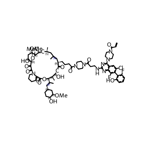 C=CC(=O)N1CCN(c2nc(NCCC(=O)N3CCN(C(=O)CCC[C@@H]4/C=C(\C)C[C@H](C)C[C@H](OC)[C@H]5O[C@@](O)(C(=O)C(=O)N6CCCC[C@H]6C(=O)O[C@H](/C(C)=C/[C@@H]6CC[C@@H](O)[C@H](OC)C6)[C@H](C)[C@@H](O)CC4=O)[C@H](C)C[C@@H]5OC)CC3)nc3c(F)c(-c4c(O)cccc4F)c(Cl)cc23)CC1